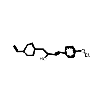 C=CC1CCC(CC(O)C#Cc2ccc(OCC)cc2)CC1